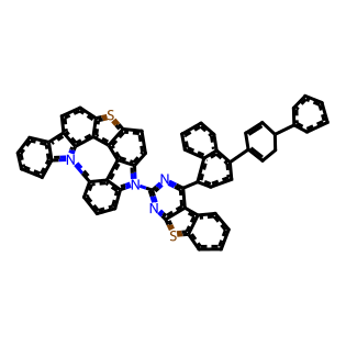 C1=CC(c2ccccc2)CC=C1c1ccc(-c2nc(-n3c4ccc5sc6ccc7c8ccccc8n8c9cccc3c9c4c5c6c78)nc3sc4ccccc4c23)c2ccccc12